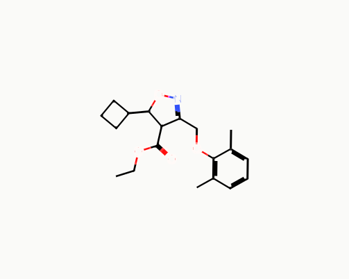 CCOC(=O)C1C(COc2c(C)cccc2C)=NOC1C1CCC1